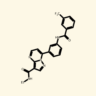 CCNC(=O)c1cnn2c(-c3cccc(NC(=O)c4cccc(C(F)(F)F)c4)c3)ccnc12